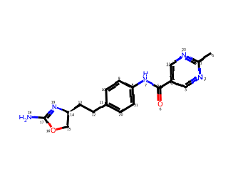 Cc1ncc(C(=O)Nc2ccc(CC[C@H]3COC(N)=N3)cc2)cn1